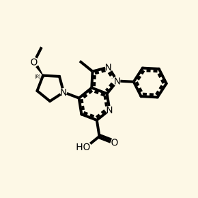 CO[C@@H]1CCN(c2cc(C(=O)O)nc3c2c(C)nn3-c2ccccc2)C1